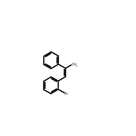 CCc1ccccc1C=C(C)c1ccccc1